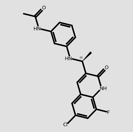 CC(=O)Nc1cccc(N[C@@H](C)c2cc3cc(Cl)cc(F)c3[nH]c2=O)c1